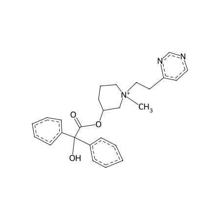 C[N+]1(CCc2ccncn2)CCCC(OC(=O)C(O)(c2ccccc2)c2ccccc2)C1